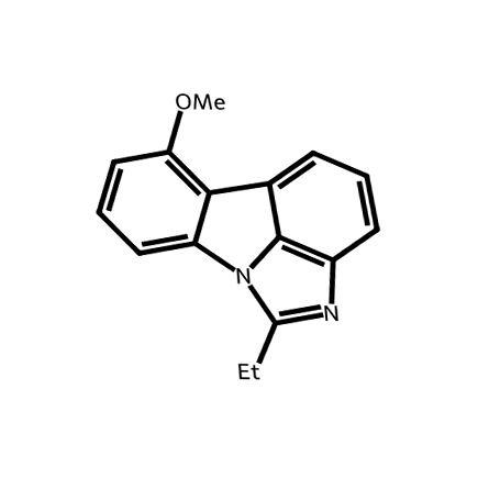 CCc1nc2cccc3c4c(OC)cccc4n1c23